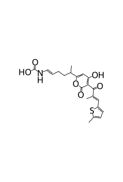 C/C(=C\c1ccc(C)s1)C(=O)c1c(O)cc(C(C)CC/C=C/NC(=O)O)oc1=O